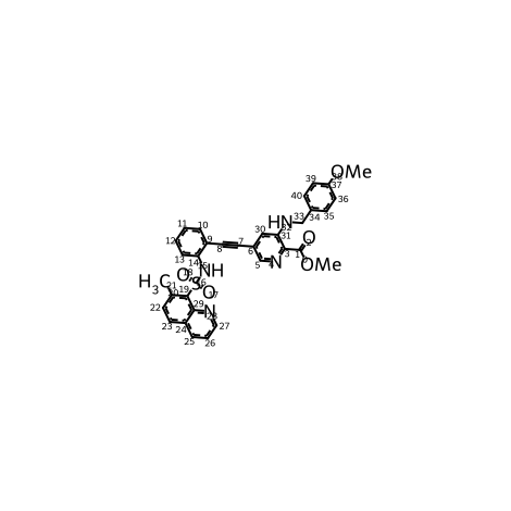 COC(=O)c1ncc(C#Cc2ccccc2NS(=O)(=O)c2c(C)ccc3cccnc23)cc1NCc1ccc(OC)cc1